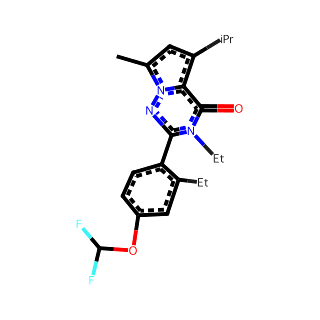 CCc1cc(OC(F)F)ccc1-c1nn2c(C)cc(C(C)C)c2c(=O)n1CC